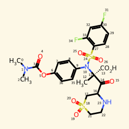 CN(C)C(=O)Oc1ccc(N([C@@](C)(C(=O)O)C(=O)C2CS(=O)(=O)CCN2)S(=O)(=O)c2ccc(F)cc2F)cc1